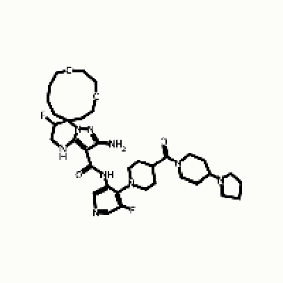 Nc1nn2c(c1C(=O)Nc1cncc(F)c1N1CCC(C(=O)N3CCC(N4CCCC4)CC3)CC1)NCC(F)C21CCCCCCCCCC1